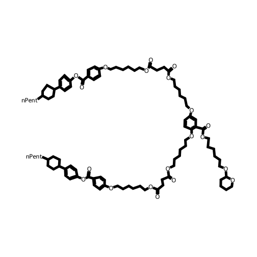 CCCCCC1CCC(c2ccc(OC(=O)c3ccc(OCCCCCCOC(=O)CCC(=O)OCCCCCCOc4ccc(OCCCCCCOC(=O)CCC(=O)OCCCCCCOc5ccc(C(=O)Oc6ccc(C7CCC(CCCCC)CC7)cc6)cc5)c(C(=O)OCCCCCCOC5CCCCO5)c4)cc3)cc2)CC1